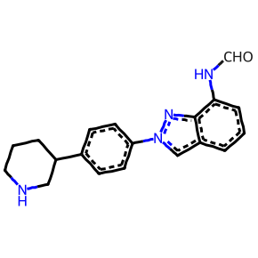 O=CNc1cccc2cn(-c3ccc(C4CCCNC4)cc3)nc12